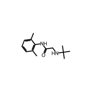 Cc1cccc(C)c1NC(=O)CNC(C)(C)C